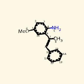 COc1ccc(N)c(/C(C)=C/c2ccccc2)c1